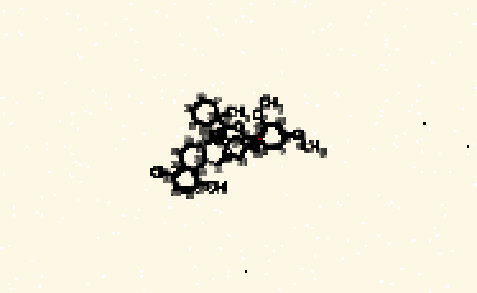 COc1ccc(COC(=O)[C@@]2(C)CCCC[C@H]2C(=O)N2CCc3c(Cl)ccc(O)c3[C@H]2CN2CC3(CC3)CC2=O)c(OC)c1